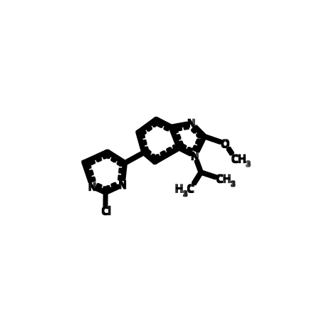 COc1nc2ccc(-c3ccnc(Cl)n3)cc2n1C(C)C